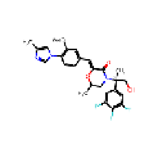 COc1cc(C=C2OC(C)CN([C@](C)(CO)c3cc(F)c(F)c(F)c3)C2=O)ccc1-n1cnc(C)c1